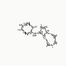 c1cnc2c(c1)nnn2Oc1cnccn1